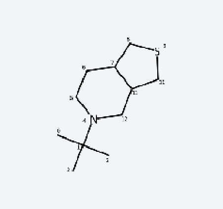 CC(C)(C)N1CCC2CSCC2C1